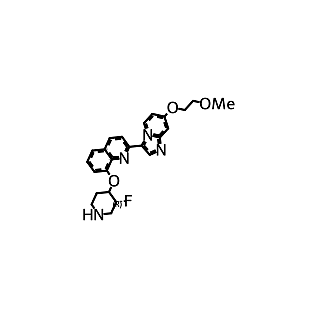 COCCOc1ccn2c(-c3ccc4cccc(OC5CCNC[C@H]5F)c4n3)cnc2c1